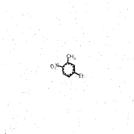 C[CH]c1ccc([N+](=O)[O-])c(C)c1